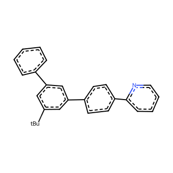 CC(C)(C)c1cc(-c2ccccc2)cc(-c2ccc(-c3ccccn3)cc2)c1